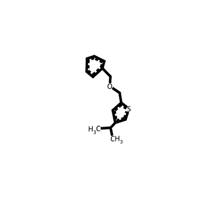 CC(C)c1csc(COCc2ccccc2)c1